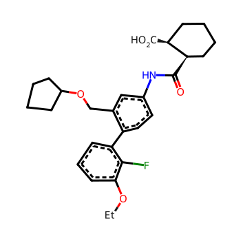 CCOc1cccc(-c2ccc(NC(=O)[C@@H]3CCCC[C@@H]3C(=O)O)cc2COC2CCCC2)c1F